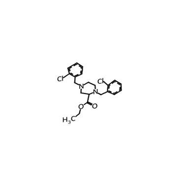 CCOC(=O)C1CN(Cc2ccccc2Cl)CCN1Cc1ccccc1Cl